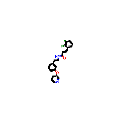 O=C(C=Cc1cccc(F)c1F)NCCc1cccc(Oc2cccnc2)c1